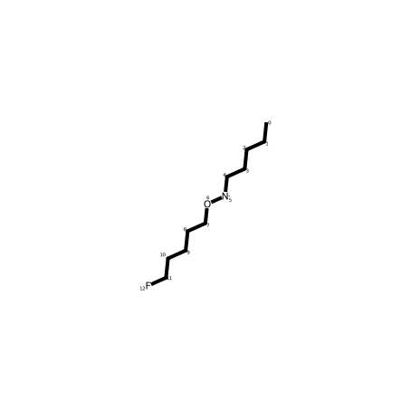 CCCCC[N]OCCCCCF